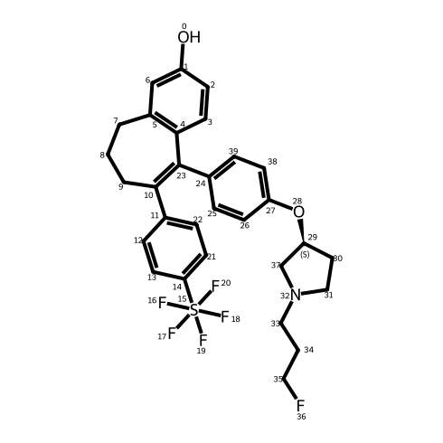 Oc1ccc2c(c1)CCCC(c1ccc(S(F)(F)(F)(F)F)cc1)=C2c1ccc(O[C@H]2CCN(CCCF)C2)cc1